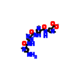 COC(=O)c1cc(NC(=O)c2cc(NC(=O)c3nc(NC(=O)c4cc(N)cn4C)cn3C)cn2C)cn1C